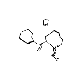 Cl/C=[N+]1\CCCCCC1NC1CCCCC1.[Cl-]